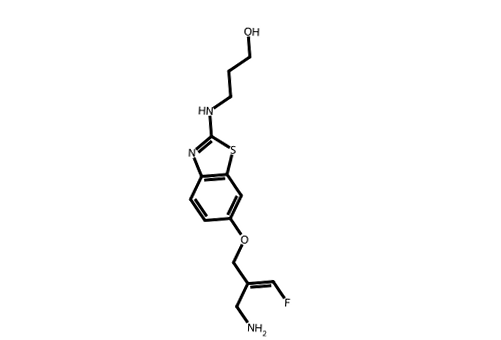 NCC(=CF)COc1ccc2nc(NCCCO)sc2c1